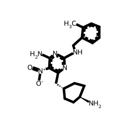 Cc1ccccc1CNc1nc(N)c([N+](=O)[O-])c(C[C@H]2CC[C@H](N)CC2)n1